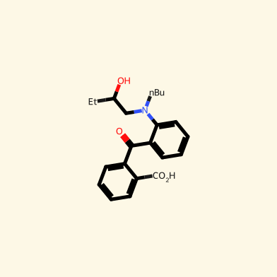 CCCCN(CC(O)CC)c1ccccc1C(=O)c1ccccc1C(=O)O